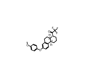 COc1ccc(Oc2ccc3c(c2)CC[C@@H]2[C@H]3CCCN2C(=O)C(F)(F)F)cc1